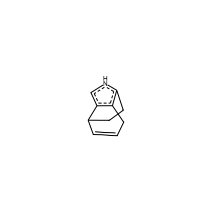 C1=CC2CCc3[nH]cc2c3C1